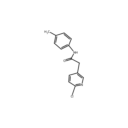 Cc1ccc(NC(=O)Cc2ccc(Cl)nc2)cc1